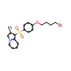 CCc1cn2ccccc2c1S(=O)(=O)c1ccc(OCCCCBr)cc1